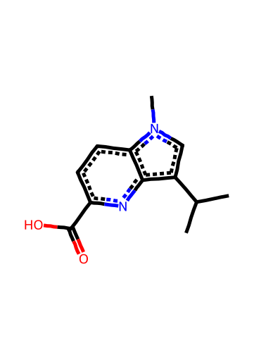 CC(C)c1cn(C)c2ccc(C(=O)O)nc12